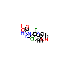 [2H]C([2H])([2H])C(O)(c1cc2cc(-c3nc(N[C@@H]4CCOC[C@H]4O)ncc3Cl)cc(F)c2nc1C)C([2H])([2H])[2H]